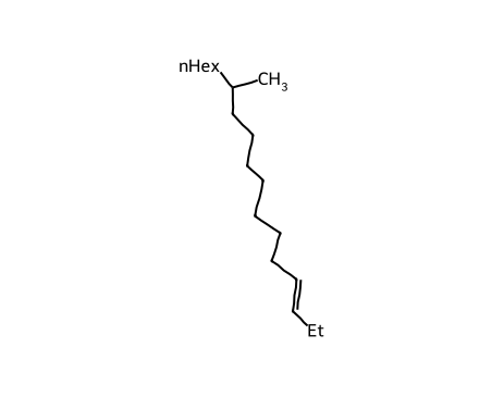 [CH2]CC=CCCCCCCCC(C)CCCCC[CH2]